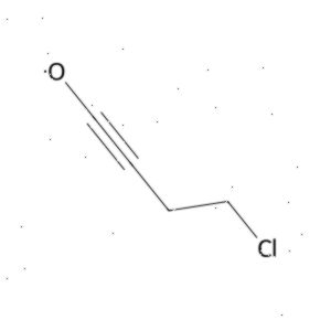 [O]C#CCCCl